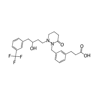 O=C(O)CCc1cccc(CN2C(=O)CCCN2CCC(O)Cc2cccc(C(F)(F)F)c2)c1